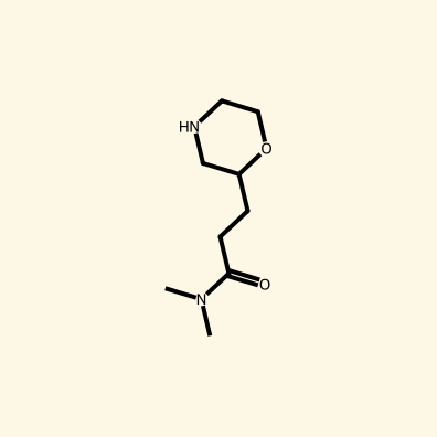 CN(C)C(=O)CCC1CNCCO1